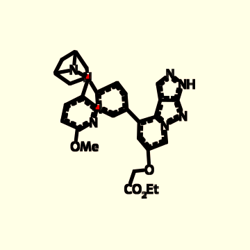 CCOC(=O)COc1cc(-c2ccc(N3CC4CC(C3)N4Cc3ccc(OC)nc3)nc2)c2c3cn[nH]c3nn2c1